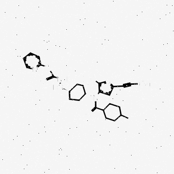 CC1CCC(C(=O)N(c2cc(C#CC(C)(C)C)sc2C(=O)O)[C@H]2CC[C@H](NNC(=O)Oc3ccccn3)CC2)CC1